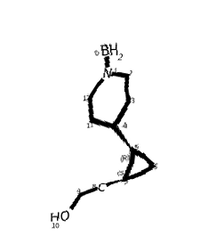 BN1CCC([C@H]2C[C@H]2CCO)CC1